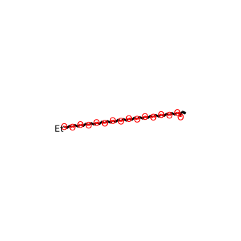 C=CC(=O)OCCOCCOCCOCCOCCOCCOCCOCCOCCOCCOCCOCCOCCOCCOCC